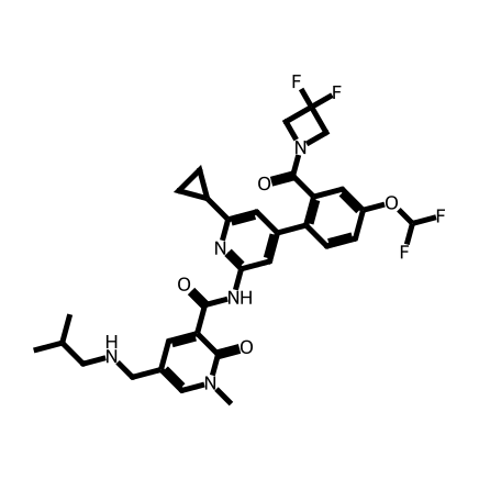 CC(C)CNCc1cc(C(=O)Nc2cc(-c3ccc(OC(F)F)cc3C(=O)N3CC(F)(F)C3)cc(C3CC3)n2)c(=O)n(C)c1